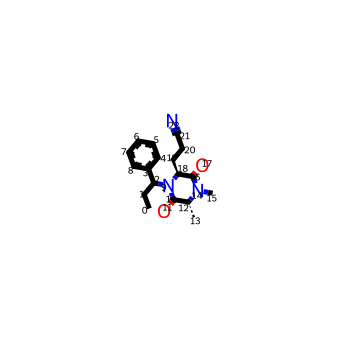 CCC(c1ccccc1)N1C(=O)[C@@H](C)N(C)C(=O)[C@@H]1CCC#N